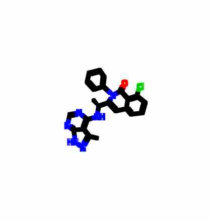 Cc1n[nH]c2ncnc(N[C@@H](C)c3cc4cccc(Cl)c4c(=O)n3-c3ccccc3)c12